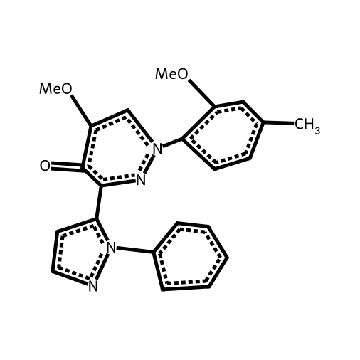 COc1cc(C)ccc1-n1cc(OC)c(=O)c(-c2ccnn2-c2ccccc2)n1